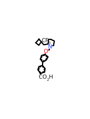 O=C(O)c1ccc(-c2ccc(OCN3CCCCC3CC3(C(F)(F)F)CCC3)cc2)cc1